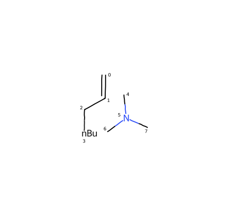 C=CCCCCC.CN(C)C